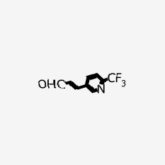 O=CC=Cc1ccc(C(F)(F)F)nc1